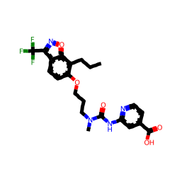 CCCc1c(OCCCN(C)C(=O)Nc2cc(C(=O)O)ccn2)ccc2c(C(F)(F)F)noc12